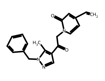 C=Cc1ccn(CC(=O)c2cnn(Cc3ccccc3)c2C)c(=O)c1